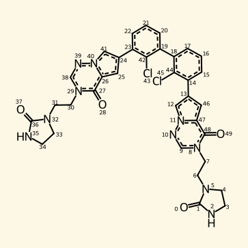 O=C1NCCN1CCn1cnn2cc(-c3cccc(-c4cccc(-c5cc6c(=O)n(CCN7CCNC7=O)cnn6c5)c4Cl)c3Cl)cc2c1=O